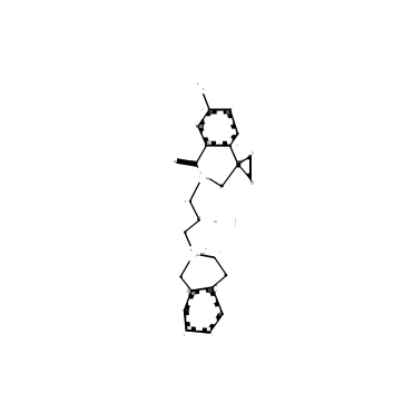 O=C1c2cc([N+](=O)[O-])ccc2C2(CC2)CN1C[C@H](O)CN1CCc2ccccc2C1